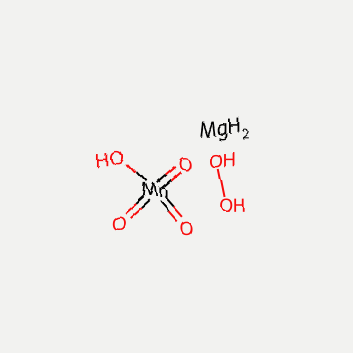 OO.[MgH2].[O]=[Mn](=[O])(=[O])[OH]